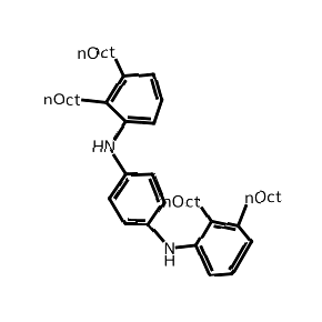 CCCCCCCCc1cccc(Nc2ccc(Nc3cccc(CCCCCCCC)c3CCCCCCCC)cc2)c1CCCCCCCC